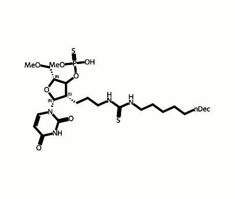 CCCCCCCCCCCCCCCNC(=S)NCCC[C@H]1C(OP(O)(=S)OC)[C@@H](COC)O[C@H]1n1ccc(=O)[nH]c1=O